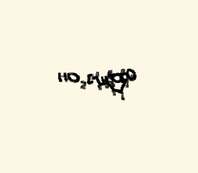 CC12CCC(CCC(=O)O)CC1O2